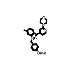 COc1ccc(Cn2nc(-c3ccnc(N4CCOCC4)c3)c3ccc(C)cc32)cc1